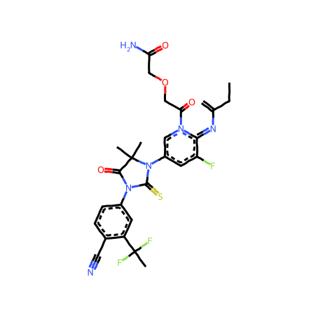 C=C(CC)/N=c1/c(F)cc(N2C(=S)N(c3ccc(C#N)c(C(C)(F)F)c3)C(=O)C2(C)C)cn1C(=O)COCC(N)=O